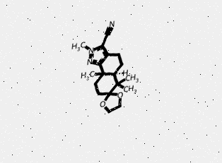 Cn1nc2c(c1C#N)CC[C@@H]1C2(C)CCC2(OCCO2)C1(C)C